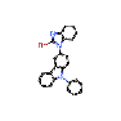 Brc1nc2ccccc2n1-c1ccc2c(c1)c1ccccc1n2-c1ccccc1